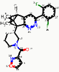 CC1(C)[C@H]2CC[C@]1([C@H]1CCCN(C(=O)c3ccon3)C1)c1nnc(-c3c(F)cccc3F)cc12